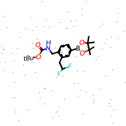 CC(C)(C)OC(=O)NCc1ccc(B2OC(C)(C)C(C)(C)O2)cc1CC(F)F